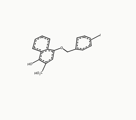 O=C(O)c1cc(OCc2ccc(I)cc2)c2ccccc2c1O